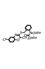 COC(=O)N(OC)c1ccccc1CSC1=Nc2cc(Cl)ccc2OC1C